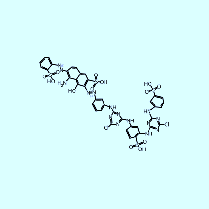 Nc1c(/N=N/c2ccccc2S(=O)(=O)O)ccc2cc(S(=O)(=O)O)c(/N=N/c3cccc(Nc4nc(Cl)nc(Nc5ccc(S(=O)(=O)O)c(Nc6nc(Cl)nc(Nc7cccc(S(=O)(=O)O)c7)n6)c5)n4)c3)c(O)c12